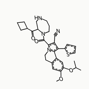 COc1cc2c(cc1OC(C)C)-c1c(-c3cccs3)c(C#N)c(C(=O)N3CCCNCC3C(=O)C3CCC3)n1CC2